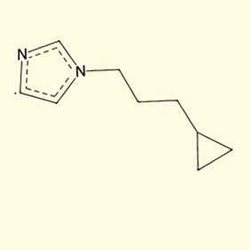 [c]1cn(CCCC2CC2)cn1